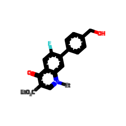 CCOC(=O)c1cn(CC)c2cc(-c3ccc(CO)cc3)c(F)cc2c1=O